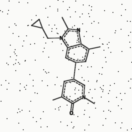 Cc1cc(-c2cc(C)c3nc(C)n(CC4CC4)c3c2)cn(C)c1=O